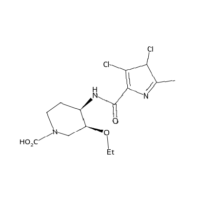 CCO[C@H]1CN(C(=O)O)CC[C@H]1NC(=O)C1=C(Cl)C(Cl)C(C)=N1